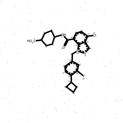 O=C(NC1CCC(C(=O)O)CC1)c1ccc(Cl)c2cnn(Cc3ccc(C4CCC4)c(F)c3)c12